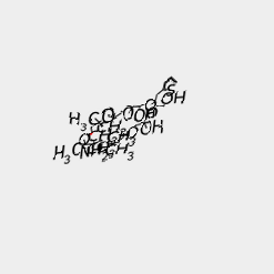 CC(C)(CCOC(C)(N)C(C)(C)COC(C)(C)CCOCC(O)COCCO)OCCOCC(O)COCCc1cccs1